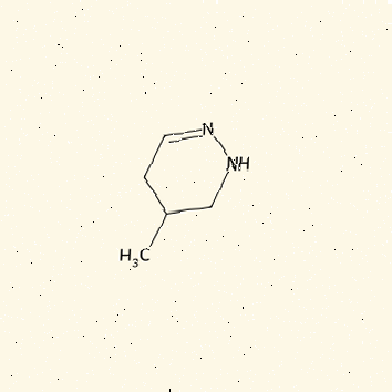 CC1CC=NNC1